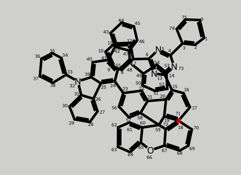 c1ccc(-c2nc(-c3ccccc3)nc(-c3cccc4c3-c3cc(-c5c6c7ccccc7n(-c7ccccc7)c6cc6c7ccccc7n(-c7ccccc7)c56)ccc3C43c4ccccc4Oc4ccccc43)n2)cc1